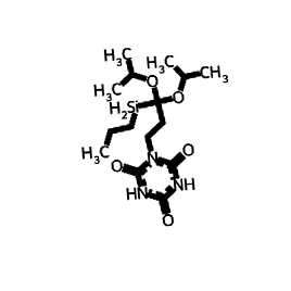 CCC[SiH2]C(CCn1c(=O)[nH]c(=O)[nH]c1=O)(OC(C)C)OC(C)C